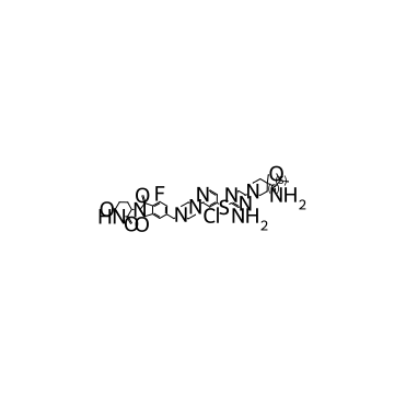 C[C@@H]1OCC2(CCN(c3cnc(Sc4ccnc(N5CCN(Cc6cc(F)c7c(c6)C(=O)N(C6CCC(=O)NC6=O)C7=O)CC5)c4Cl)c(N)n3)CC2)[C@@H]1N